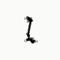 NC1(C(=O)N[C@@H](CCN2CCN(C(=O)CCOCCOCCOCCOCCOCCNc3cccc4c3C(=O)N(C3CCC(=O)NC3=O)C4=O)CC2)c2ccc(Cl)cc2)CCN(c2ncnc3[nH]ccc23)CC1